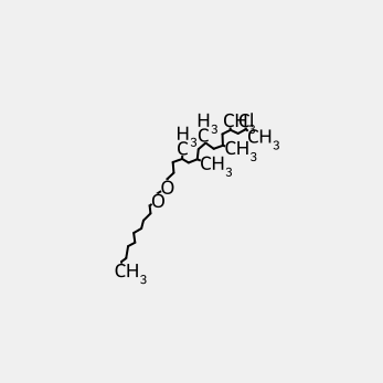 CCCCCCCCCCOCOCCCC(C)CC(C)CC(C)CC(C)CC(C)CC(C)Cl